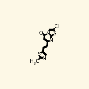 Cc1ncc(/C=C/c2cc(=O)n3cc(Cl)sc3n2)s1